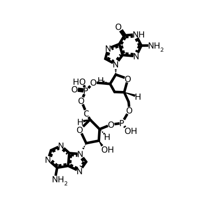 Nc1nc2c(ncn2[C@@H]2O[C@@H]3COP(O)O[C@H]4[C@@H](O)[C@H](n5cnc6c(N)ncnc65)O[C@@H]4COP(=O)(O)O[C@@H]2C3)c(=O)[nH]1